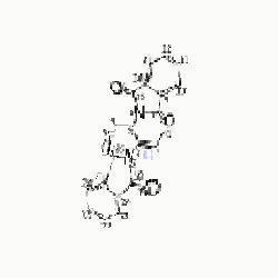 C/C=C(\C(CF)N1C(=O)c2ccccc2C1=O)N1C(=O)c2ccccc2C1=O